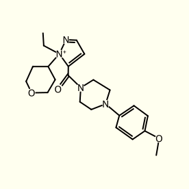 CC[N+]1(C2CCOCC2)N=CC=C1C(=O)N1CCN(c2ccc(OC)cc2)CC1